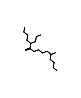 C=C(CCCCC(C)CCCC)C(CCC)CCCC